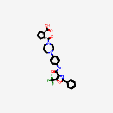 O=C(Nc1ccc(N2CCCN(C(=O)[C@@H]3CCC[C@H]3C(=O)O)CC2)cc1)c1nc(-c2ccccc2)oc1C(F)(F)F